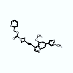 COc1cc(-c2cnn(C)c2)cn2ncc(C#CC3CN(C(=O)OCc4ccccn4)C3)c12